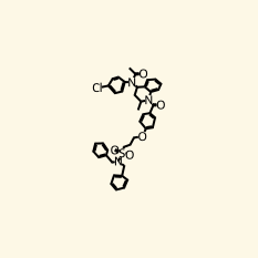 CC(=O)N(c1ccc(Cl)cc1)C1CC(C)N(C(=O)c2ccc(OCCCS(=O)(=O)N(Cc3ccccc3)Cc3ccccc3)cc2)c2ccccc21